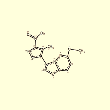 COc1ccc2nnc(-c3cnc([N+](=O)[O-])n3C)n2n1